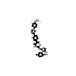 Cc1ccc(C(C)C)c(N2C(=O)CS/C2=N\C(=S)NC(C)C(C)c2ccc(-c3ncn(-c4ccc(OC(F)(F)F)cc4)n3)cc2)c1